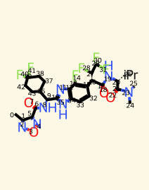 Cc1nonc1C(=O)N[C@H](c1nc2c(F)c([C@@H](C(=O)N[C@@H](C(=O)N(C)C)C(C)C)C(F)C(F)F)ccc2[nH]1)C1CCC(F)(F)CC1